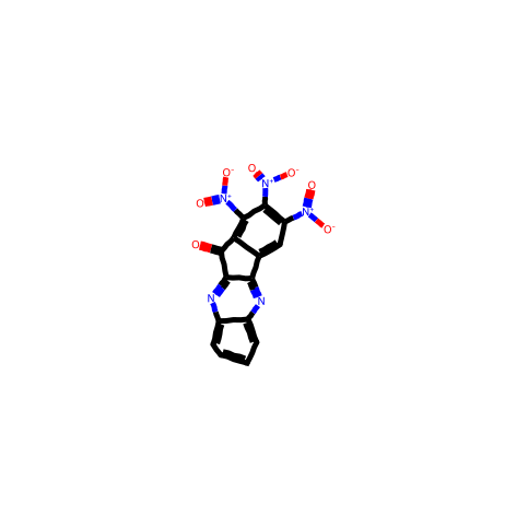 O=C1c2nc3ccccc3nc2-c2cc([N+](=O)[O-])c([N+](=O)[O-])c([N+](=O)[O-])c21